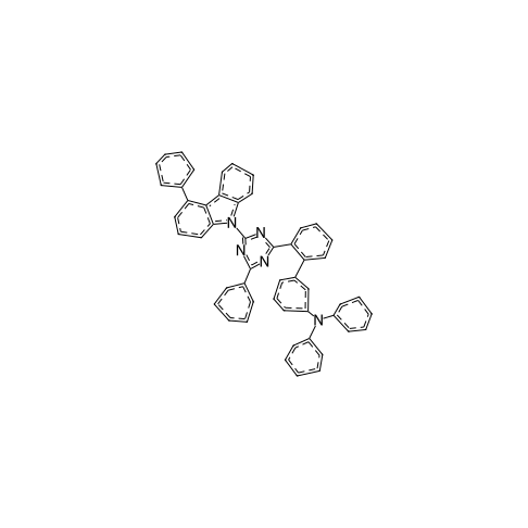 c1ccc(-c2nc(-c3ccccc3-c3cccc(N(c4ccccc4)c4ccccc4)c3)nc(-n3c4ccccc4c4c(-c5ccccc5)cccc43)n2)cc1